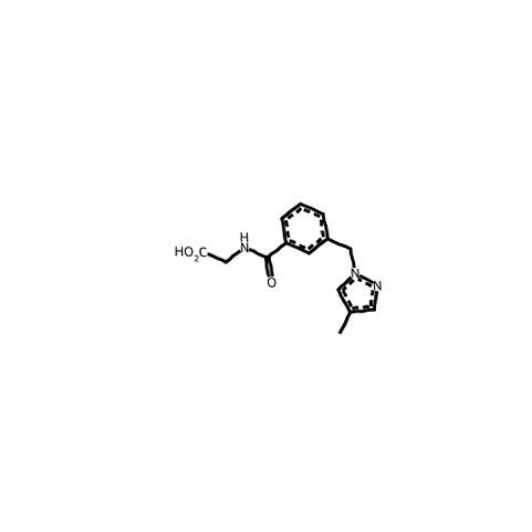 Cc1cnn(Cc2cccc(C(=O)NCC(=O)O)c2)c1